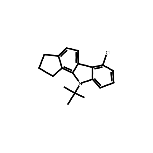 CC(C)(C)n1c2cccc(Cl)c2c2ccc3c(c21)CCC3